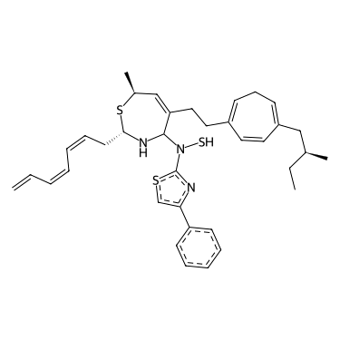 C=C/C=C\C=C/C[C@H]1NC(N(S)c2nc(-c3ccccc3)cs2)C(CCC2=CCC=C(C[C@@H](C)CC)C=C2)=C[C@H](C)S1